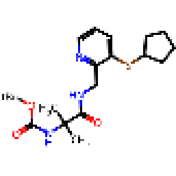 CC(C)(C)OC(=O)NC(C)(C)C(=O)NCc1ncccc1SC1CCCC1